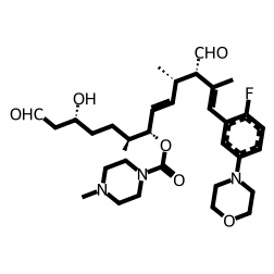 C/C(=C\c1cc(N2CCOCC2)ccc1F)[C@@H](C=O)[C@@H](C)/C=C/[C@H](OC(=O)N1CCN(C)CC1)[C@@H](C)CC[C@@H](O)CC=O